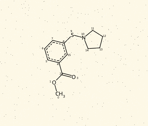 COC(=O)c1cccc(SN2CCCC2)c1